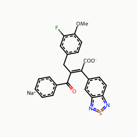 COc1ccc(CC(C(=O)c2ccccc2)=C(C(=O)[O-])c2ccc3nsnc3c2)cc1F.[Na+]